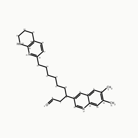 Cc1cc2cc(C(CC=O)CCCCCCc3ccc4c(n3)NCCC4)cnc2cc1C